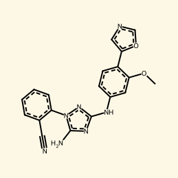 COc1cc(Nc2nc(N)n(-c3ccccc3C#N)n2)ccc1-c1cnco1